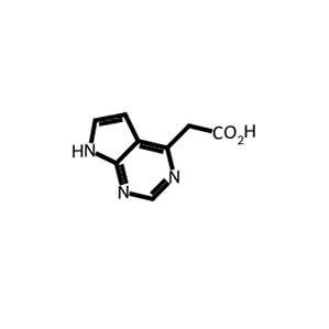 O=C(O)Cc1ncnc2[nH]ccc12